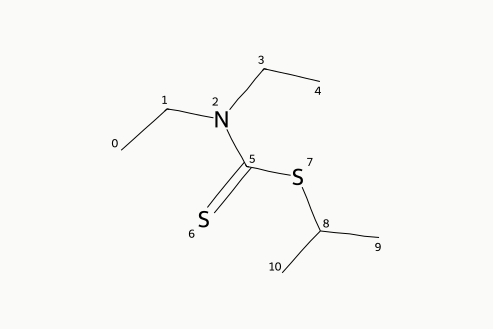 CCN(CC)C(=S)SC(C)C